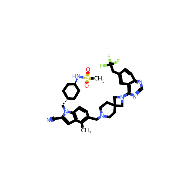 Cc1c(CN2CCC3(CC2)CN(c2ncnc4ccc(CC(F)(F)F)cc24)C3)ccc2c1cc(C#N)n2C[C@H]1CC[C@H](NS(C)(=O)=O)CC1